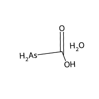 O.O=C(O)[AsH2]